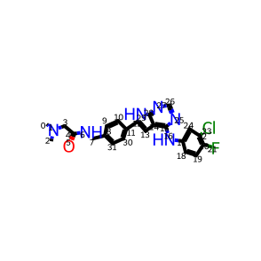 CN(C)CC(=O)NCc1ccc(-c2cc3c(Nc4ccc(F)c(Cl)c4)ncnc3[nH]2)cc1